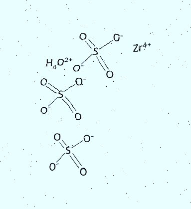 O=S(=O)([O-])[O-].O=S(=O)([O-])[O-].O=S(=O)([O-])[O-].[OH4+2].[Zr+4]